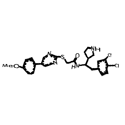 COc1ccc(-c2cnc(SCC(=O)NC(Cc3ccc(Cl)c(Cl)c3)C3CCNC3)nc2)cc1